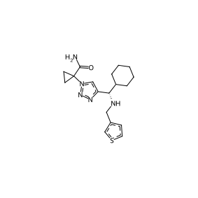 NC(=O)C1(n2cc([C@@H](NCc3ccsc3)C3CCCCC3)nn2)CC1